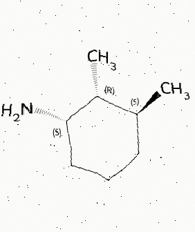 C[C@@H]1[C@@H](C)CCC[C@@H]1N